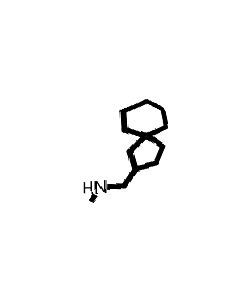 CNCC1CCC2(CCCCC2)C1